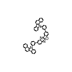 c1cc(-c2ccc3nc4oc5ccc(-c6cccc(-n7c8ccccc8c8ccc9ccccc9c87)c6)cc5c4nc3c2)cc(-n2c3ccccc3c3ccc4ccccc4c32)c1